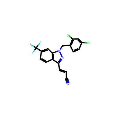 N#C/C=C/c1nn(Cc2ccc(Cl)cc2Cl)c2cc(C(F)(F)F)ccc12